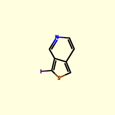 Ic1scc2ccncc12